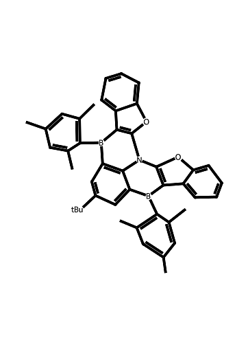 Cc1cc(C)c(B2c3cc(C(C)(C)C)cc4c3N(c3oc5ccccc5c32)c2oc3ccccc3c2B4c2c(C)cc(C)cc2C)c(C)c1